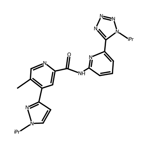 Cc1cnc(C(=O)Nc2cccc(-c3nnnn3C(C)C)n2)cc1-c1ccn(C(C)C)n1